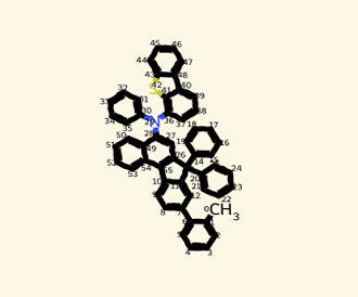 Cc1ccccc1-c1ccc2c(c1)C(c1ccccc1)(c1ccccc1)c1cc(N(c3ccccc3)c3cccc4c3sc3ccccc34)c3ccccc3c1-2